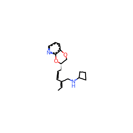 C/C=C(\C=C/C[C@H]1COc2cccnc2O1)CNC1CCC1